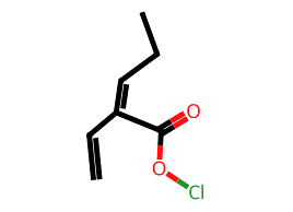 C=CC(=CCC)C(=O)OCl